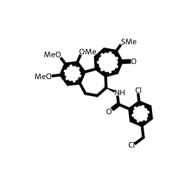 COc1cc2c(c(OC)c1OC)-c1ccc(SC)c(=O)cc1[C@@H](NC(=O)c1cc(CCl)ccc1Cl)CC2